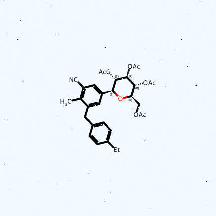 CCc1ccc(Cc2cc([C@@H]3O[C@H](COC(C)=O)[C@@H](OC(C)=O)[C@H](OC(C)=O)[C@H]3OC(C)=O)cc(C#N)c2C)cc1